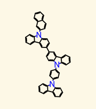 c1ccc2cc(-n3c4ccccc4c4cc(-c5ccc6c(c5)c5ccccc5n6-c5ccc(-n6c7ccccc7c7ccccc76)cc5)ccc43)ccc2c1